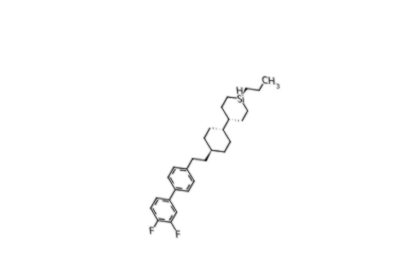 CCC[Si@H]1CC[C@H]([C@H]2CC[C@H](CCc3ccc(-c4ccc(F)c(F)c4)cc3)CC2)CC1